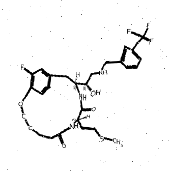 CSCC[C@@H]1NC(=O)CCCCOc2ccc(cc2F)C[C@@H]([C@H](O)CNCc2cccc(C(F)(F)F)c2)NC1=O